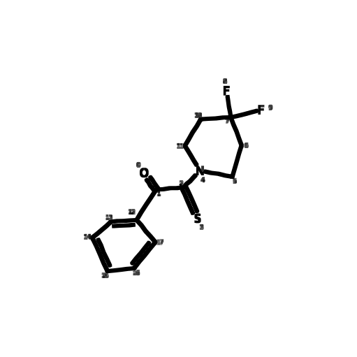 O=C(C(=S)N1CCC(F)(F)CC1)c1ccccc1